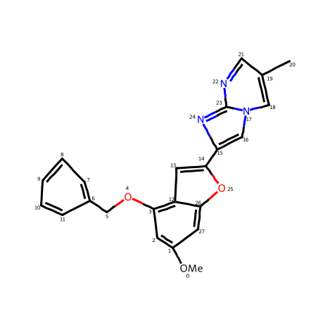 COc1cc(OCc2ccccc2)c2cc(-c3cn4cc(C)cnc4n3)oc2c1